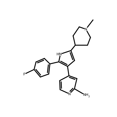 CN1CCC(c2cc(-c3ccnc(N)c3)c(-c3ccc(F)cc3)[nH]2)CC1